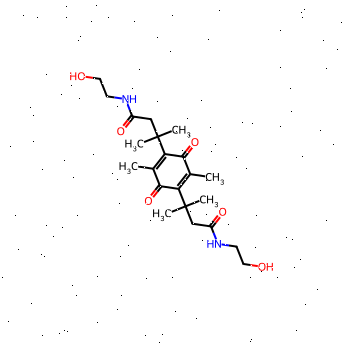 CC1=C(C(C)(C)CC(=O)NCCO)C(=O)C(C)=C(C(C)(C)CC(=O)NCCO)C1=O